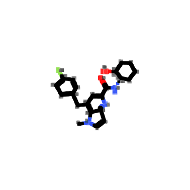 Cn1ccc2nc(C(=O)N[C@H]3CCCC[C@@H]3O)cc(Cc3ccc(F)cc3)c21